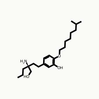 CCC[C@@](N)(CO)CCc1ccc(OCCCCCCC(C)C)c(O)c1